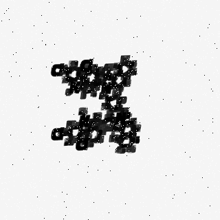 CN1/C(=C/C=C/C2=[N+](Cc3ccc(C[N+]4=C(/C=C/C=C5/N(C)c6cc(Cl)cc(Cl)c6C56CCCCC6)C(C)(C)c5c4ccc4ccccc54)cc3)c3ccc4ccccc4c3C2(C)C)C2(CCCCC2)c2c(Cl)cc(Cl)cc21